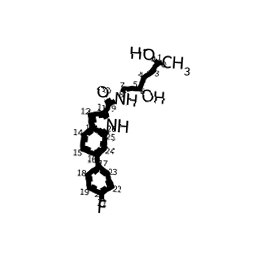 CC(O)CC[C@H](O)CNC(=O)c1cc2ccc(-c3ccc(F)cc3)cc2[nH]1